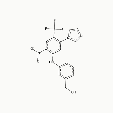 O=[N+]([O-])c1cc(C(F)(F)F)c(-n2ccnc2)cc1Nc1cccc(CO)c1